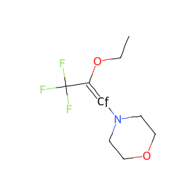 CCO[C](=[Cf][N]1CCOCC1)C(F)(F)F